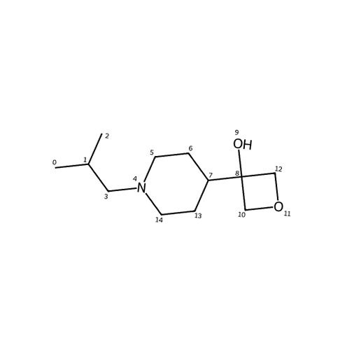 CC(C)CN1CCC(C2(O)COC2)CC1